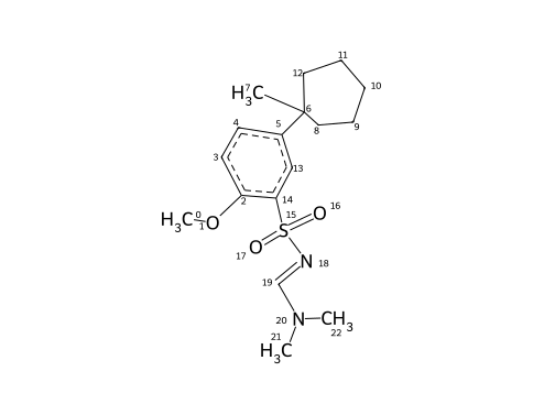 COc1ccc(C2(C)CCCCC2)cc1S(=O)(=O)N=CN(C)C